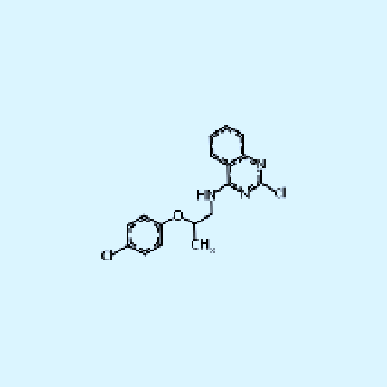 CC(CNc1nc(Cl)nc2ccccc12)Oc1ccc(Cl)cc1